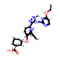 CCOc1ccnc(Nc2c(-c3ccc(O[C@H]4CCC[C@H](C(=O)O)C4)c(C)n3)nnn2C)n1